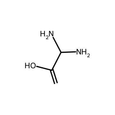 C=C(O)C(N)N